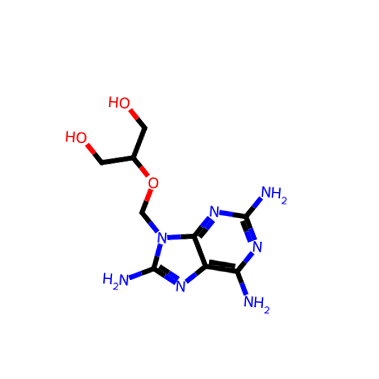 Nc1nc(N)c2nc(N)n(COC(CO)CO)c2n1